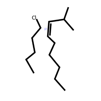 CCCCC/C=C\C(C)C.CCCCCCl